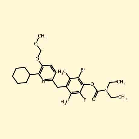 CCN(CC)C(=O)Oc1c(F)c(C)c(Cc2ccc(OCOC)c(C3CCCCC3)n2)c(C)c1Br